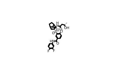 C[C@H](O)CC(=O)NC[C@]1(O)C2CCC1C[C@@H](S(=O)(=O)c1cc(C(=O)Nc3ccc(F)c(F)c3)ccc1Cl)C2